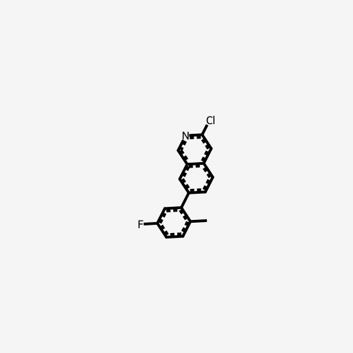 Cc1ccc(F)cc1-c1ccc2cc(Cl)ncc2c1